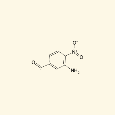 Nc1cc([C]=O)ccc1[N+](=O)[O-]